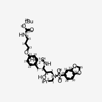 CC(C)CN(C[C@@H](O)[C@H](Cc1ccc(OCCCNC(=O)OC(C)(C)C)cc1)NC(=O)O)S(=O)(=O)c1ccc2c(c1)OCO2